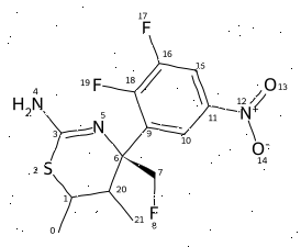 CC1SC(N)=N[C@](CF)(c2cc([N+](=O)[O-])cc(F)c2F)C1C